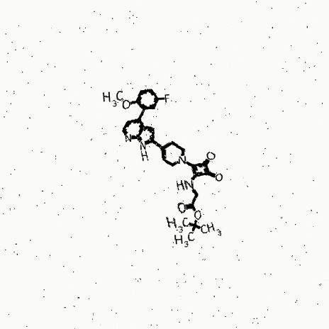 COc1ccc(F)cc1-c1ccnc2[nH]c(C3=CCN(c4c(NCC(=O)OC(C)(C)C)c(=O)c4=O)CC3)cc12